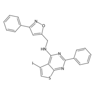 Ic1csc2nc(-c3ccccc3)nc(NCc3cc(-c4ccccc4)no3)c12